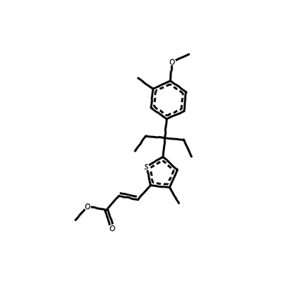 CCC(CC)(c1ccc(OC)c(C)c1)c1cc(C)c(C=CC(=O)OC)s1